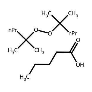 CCCC(C)(C)OOC(C)(C)CCC.CCCCC(=O)O